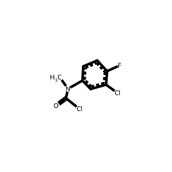 CN(C(=O)Cl)c1ccc(F)c(Cl)c1